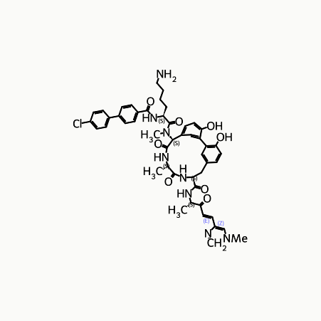 C=NC(=C\NC)/C=C/C(=O)[C@H](C)NC(=O)[C@@H]1Cc2ccc(O)c(c2)-c2cc(ccc2O)[C@H](N(C)C(=O)[C@H](CCCCN)NC(=O)c2ccc(-c3ccc(Cl)cc3)cc2)C(=O)N[C@@H](C)C(=O)N1